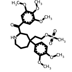 COc1ccc(C2(CCOS(C)(=O)=O)CCCNC(C(=O)c3cc(OC)c(OC)c(OC)c3)C2)cc1OC